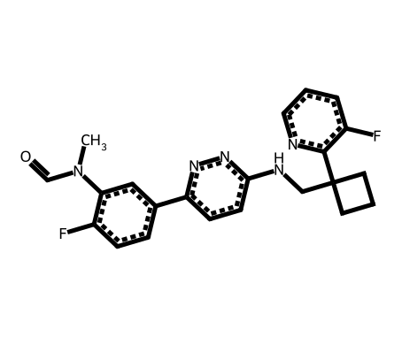 CN(C=O)c1cc(-c2ccc(NCC3(c4ncccc4F)CCC3)nn2)ccc1F